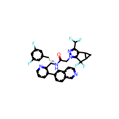 O=C(Cn1nc(C(F)F)c2c1C(F)(F)C1CC21)N[C@@H](Cc1cc(F)cc(F)c1)c1ncccc1-c1ccc2cnccc2c1